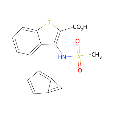 CS(=O)(=O)Nc1c(C(=O)O)sc2ccccc12.c1cc2cc-2c1